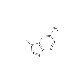 Cn1cnc2ncc(N)cc21